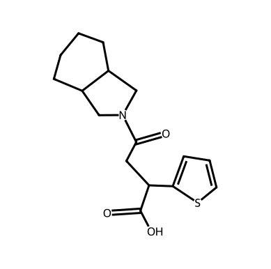 O=C(O)C(CC(=O)N1CC2CCCCC2C1)c1cccs1